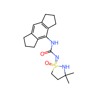 CC1(C)CCS(=O)(=NC(=O)Nc2c3c(cc4c2CCC4)CCC3)N1